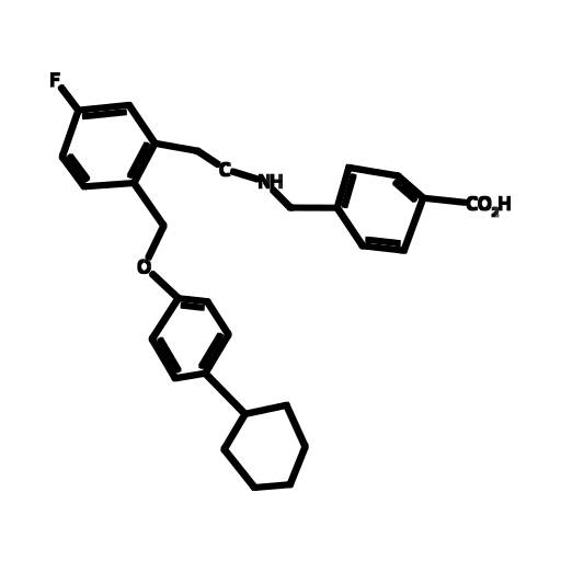 O=C(O)c1ccc(CNCCc2cc(F)ccc2COc2ccc(C3CCCCC3)cc2)cc1